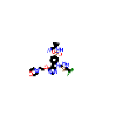 N#CC1(NS(=O)(=O)c2ccc3c4c(OCCN5CCOCC5)ncnc4n(-c4nnc(C(F)F)s4)c3c2)CC1